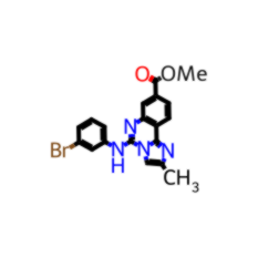 COC(=O)c1ccc2c(c1)nc(Nc1cccc(Br)c1)n1cc(C)nc21